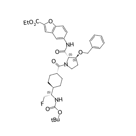 CCOC(=O)c1cc2cc(NC(=O)[C@@H]3[C@@H](OCc4ccccc4)CCN3C(=O)[C@H]3CC[C@H]([C@@H](CF)NC(=O)OC(C)(C)C)CC3)ccc2o1